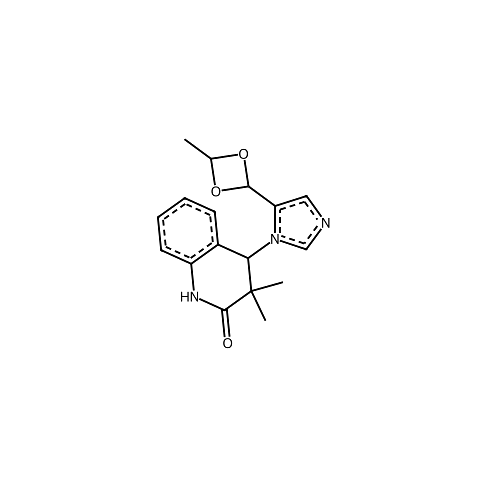 CC1OC(c2cncn2C2c3ccccc3NC(=O)C2(C)C)O1